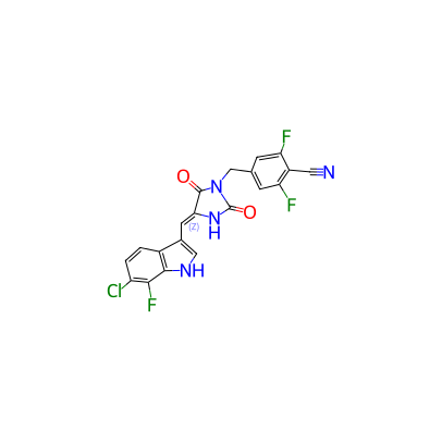 N#Cc1c(F)cc(CN2C(=O)N/C(=C\c3c[nH]c4c(F)c(Cl)ccc34)C2=O)cc1F